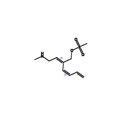 C=C/C=C\C(=C/CNC)COS(C)(=O)=O